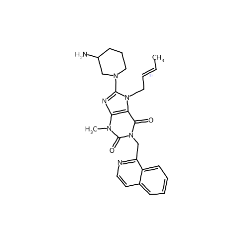 C/C=C/Cn1c(N2CCCC(N)C2)nc2c1c(=O)n(Cc1nccc3ccccc13)c(=O)n2C